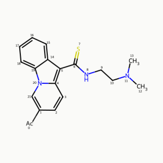 CC(=O)c1ccc2c(C(=S)NCCN(C)C)c3ccccc3n2c1